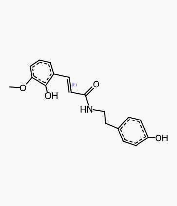 COc1cccc(/C=C/C(=O)NCCc2ccc(O)cc2)c1O